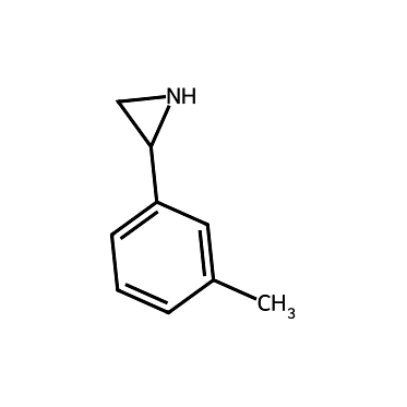 Cc1cccc(C2CN2)c1